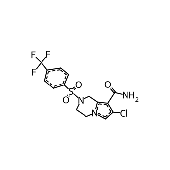 NC(=O)c1c(Cl)cn2c1CN(S(=O)(=O)c1ccc(C(F)(F)F)cc1)CC2